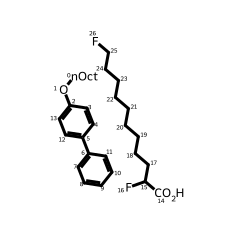 CCCCCCCCOc1ccc(-c2ccccc2)cc1.O=C(O)C(F)CCCCCCCCCF